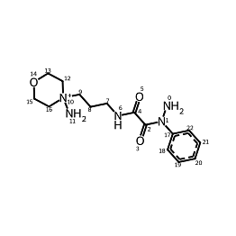 NN(C(=O)C(=O)NCCC[N+]1(N)CCOCC1)c1ccccc1